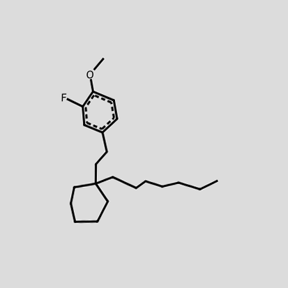 CCCCCCCC1(CCc2ccc(OC)c(F)c2)CCCCC1